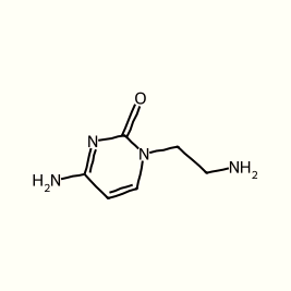 NCCn1ccc(N)nc1=O